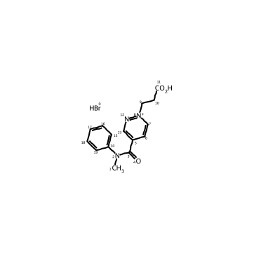 Br.CN(C(=O)c1cc[n+](CCC(=O)O)nc1)c1ccccc1